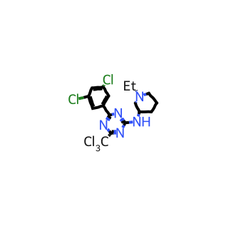 CCN1CCCC(Nc2nc(-c3cc(Cl)cc(Cl)c3)nc(C(Cl)(Cl)Cl)n2)C1